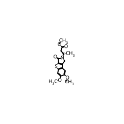 COC(=O)C[C@H](C)N1Cc2c(sc3cc(OC)c(OC)cc23)C1=O